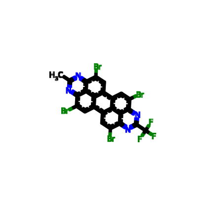 Cc1nc2c(Br)cc3c4cc(Br)c5nc(C(F)(F)F)nc6c(Br)cc(c7cc(Br)c(n1)c2c37)c4c56